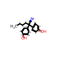 CCCCC(C#N)(c1ccc(O)cc1)c1ccc(O)cc1